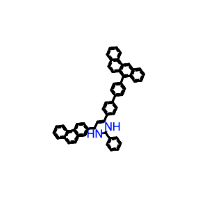 C1=C(c2ccc(-c3ccc(-c4c5ccccc5cc5c4ccc4ccccc45)cc3)cc2)NC(c2ccccc2)NC1c1ccc2c(ccc3ccccc32)c1